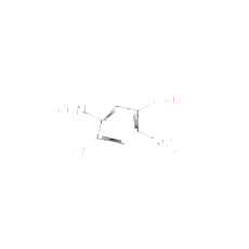 O=[N+]([O-])c1cc(Cl)c([N+](=O)[O-])cc1O